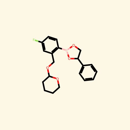 Fc1ccc(B2OCC(c3ccccc3)O2)c(COC2CCCCO2)c1